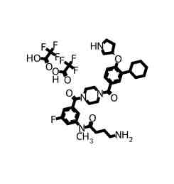 CN(C(=O)CCCN)c1cc(F)cc(C(=O)N2CCN(C(=O)c3ccc(O[C@H]4CCNC4)c(C4CCCCC4)c3)CC2)c1.O=C(O)C(F)(F)F.O=C(O)C(F)(F)F